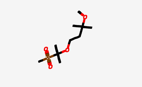 COC(C)(C)CCOC(C)(C)S(C)(=O)=O